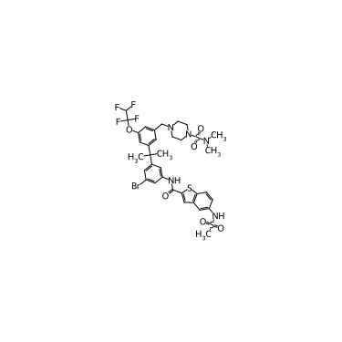 CN(C)S(=O)(=O)N1CCN(Cc2cc(OC(F)(F)C(F)F)cc(C(C)(C)c3cc(Br)cc(NC(=O)c4cc5cc(NS(C)(=O)=O)ccc5s4)c3)c2)CC1